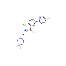 O=C(NCCN1CCC(F)(F)CC1)c1cc(-c2ncc(F)cn2)ccc1Cl